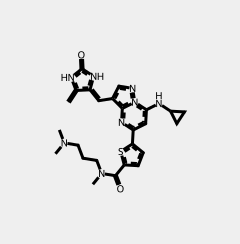 C=c1[nH]c(=O)[nH]/c1=C\c1cnn2c(NC3CC3)cc(-c3ccc(C(=O)N(C)CCCN(C)C)s3)nc12